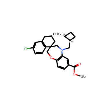 CC(C)(C)OC(=O)c1ccc2c(c1)N(C[C@@H]1CC[C@H]1C=O)CC1(CCCc3cc(Cl)ccc31)CO2